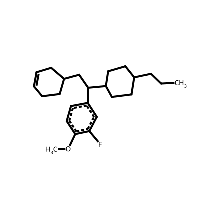 CCCC1CCC(C(CC2CC=CCC2)c2ccc(OC)c(F)c2)CC1